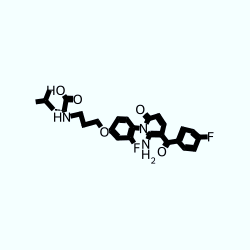 CC(C)C[C@@H](NCCCOc1ccc(-n2c(N)c(C(=O)c3ccc(F)cc3)ccc2=O)c(F)c1)C(=O)O